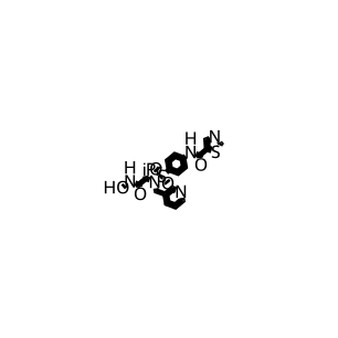 CC(C)C(C(=O)NO)N(Cc1cccnc1)S(=O)(=O)c1ccc(NC(=O)c2cncs2)cc1